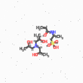 C=CC(=O)NC(C)CS(=O)(=O)O.CC(O)CN(CC(C)O)CC(C)O